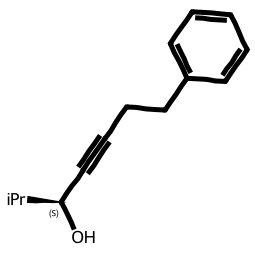 CC(C)[C@H](O)C#CCCc1ccccc1